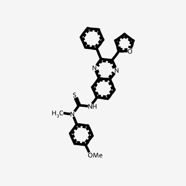 COc1ccc(N(C)C(=S)Nc2ccc3nc(-c4ccco4)c(-c4ccccc4)nc3c2)cc1